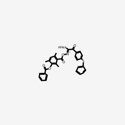 CCCCCC/C(=N\OC(=O)c1c(C)cc(C)c(OC(=O)c2ccccc2)c1C)C(=O)c1ccc(Sc2ccccc2)cc1